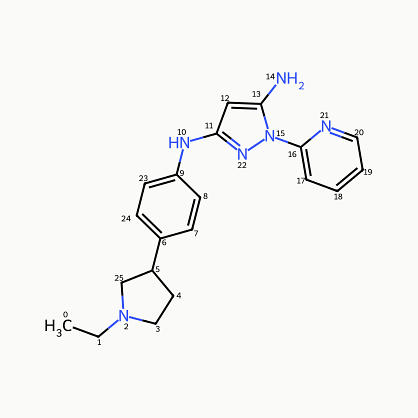 CCN1CCC(c2ccc(Nc3cc(N)n(-c4ccccn4)n3)cc2)C1